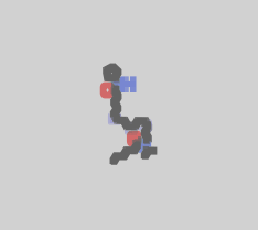 CCCCCC(=O)N(CC/C=C\C/C=C\C/C=C\CCCC(=O)NC1CCCC1)C(C)C